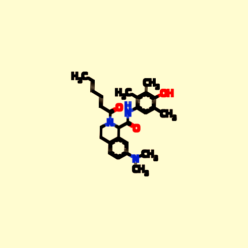 C/C=C/C=C/C(=O)N1CCc2ccc(N(C)C)cc2C1C(=O)Nc1cc(C)c(O)c(C)c1C